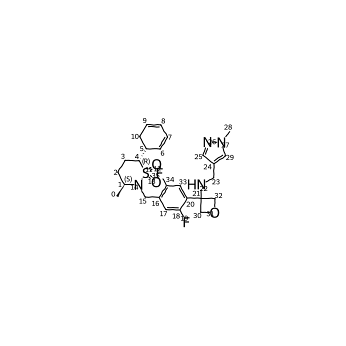 C[C@H]1CC[C@H](C2C=CC=CC2)S(=O)(=O)N1Cc1cc(F)c(C2(NCc3cnn(C)c3)COC2)cc1F